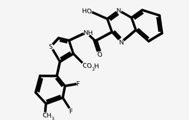 Cc1ccc(-c2scc(NC(=O)c3nc4ccccc4nc3O)c2C(=O)O)c(F)c1F